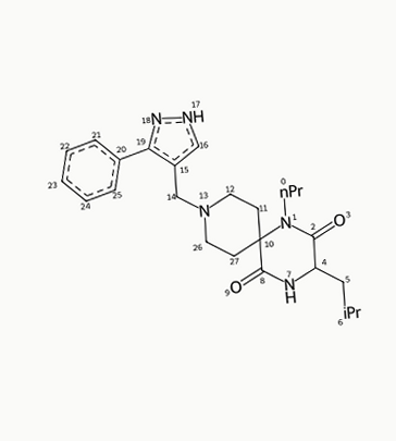 CCCN1C(=O)C(CC(C)C)NC(=O)C12CCN(Cc1c[nH]nc1-c1ccccc1)CC2